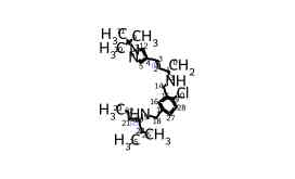 C=C(/C=C/c1cnn(C(C)(C)C)c1)NCc1cc(CN/C(=C\CC)C(C)C)ccc1Cl